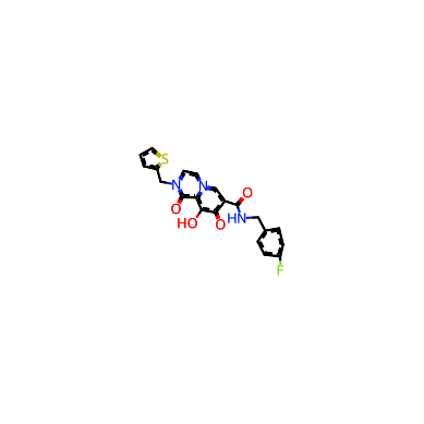 O=C(NCc1ccc(F)cc1)c1cn2ccn(Cc3cccs3)c(=O)c2c(O)c1=O